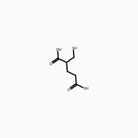 O=C(O)CCC(CS)C(=O)O